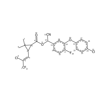 CC1(C)C(/C=C(\Cl)C(F)(F)F)C1C(=O)OC(C#N)c1ccc(F)c(Oc2ccc(Cl)cc2)c1